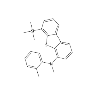 Cc1ccccc1N(C)c1cccc2c1sc1c([Si](C)(C)C)cccc12